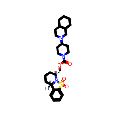 O=C(OC[C@H]1CCC[C@H]2c3ccccc3S(=O)(=O)N12)N1CCC(N2CCC3CCCCC3C2)CC1